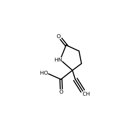 C#CC1(C(=O)O)CCC(=O)N1